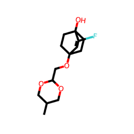 CC1COC(COC23C=C(F)C(O)(CC2)CC3)OC1